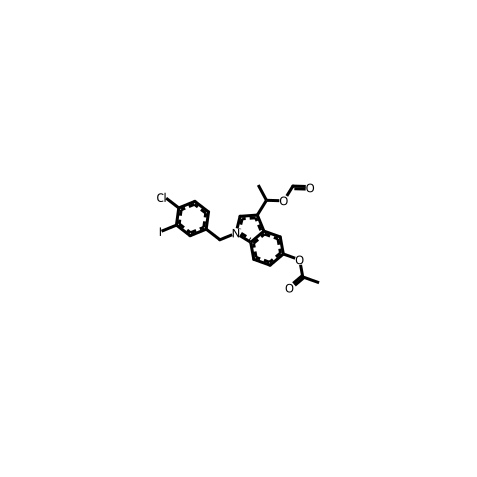 CC(=O)Oc1ccc2c(c1)c(C(C)OC=O)cn2Cc1ccc(Cl)c(I)c1